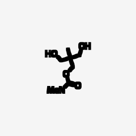 CNC(=O)OCC(C)(CO)CO